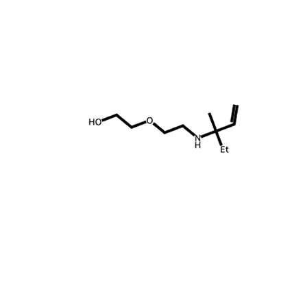 C=CC(C)(CC)NCCOCCO